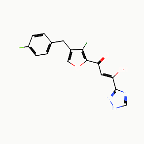 O=C(C=C(O)c1nc[nH]n1)c1occ(Cc2ccc(F)cc2)c1Cl